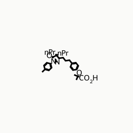 CCCC1(CCC)C(=O)N(c2ccc(C)cc2)N=C1CCCc1ccc(OC(C)(C)C(=O)O)cc1